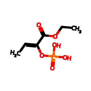 CC=C(OP(=O)(O)O)C(=O)OCC